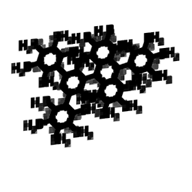 Bc1c(B)c(B)c(-c2cc(-c3c(B)c(B)c(B)c(B)c3B)c(B)c(-c3c4c(B)c(B)c(B)c(B)c4c(-c4c(B)c(B)c(B)c(B)c4B)c4c(B)c(B)c(B)c(B)c34)c2B)c(B)c1B